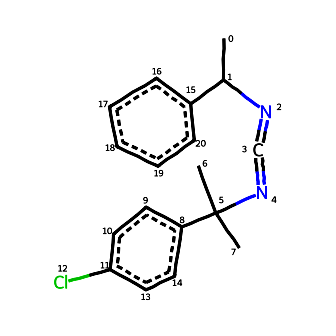 CC(N=C=NC(C)(C)c1ccc(Cl)cc1)c1ccccc1